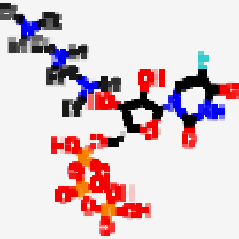 CCN(CC)CC.CCN(CC)CC.CCN(CC)CC.O=c1[nH]c(=O)n([C@@H]2O[C@H](COP(=O)(O)OP(=O)(O)OP(=O)(O)O)[C@@H](O)[C@H]2O)cc1F